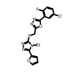 CCn1c(SCc2nnc(-c3cc(Cl)ccc3F)o2)nnc1-c1ccco1